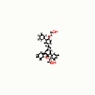 CC(C)(c1ccc(OCCO)c(-c2ccccc2)c1)c1cc(-c2ccccc2)c(OCCO)c(-c2ccccc2)c1